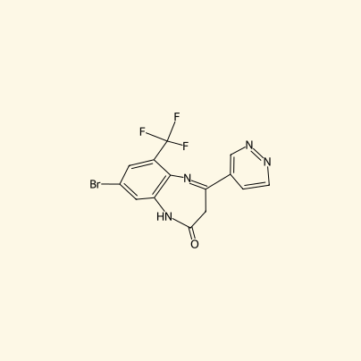 O=C1CC(c2ccnnc2)=Nc2c(cc(Br)cc2C(F)(F)F)N1